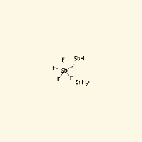 [F][Sb]([F])([F])([F])[F].[SbH3].[SnH2]